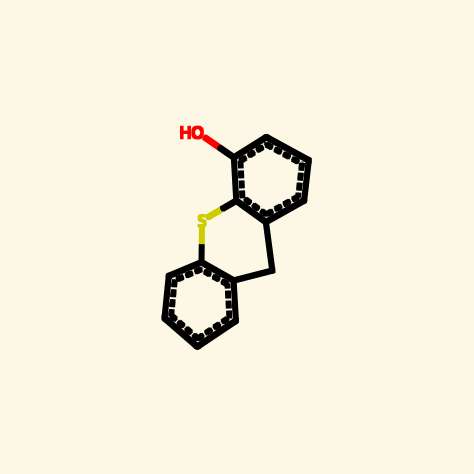 Oc1cccc2c1Sc1ccccc1C2